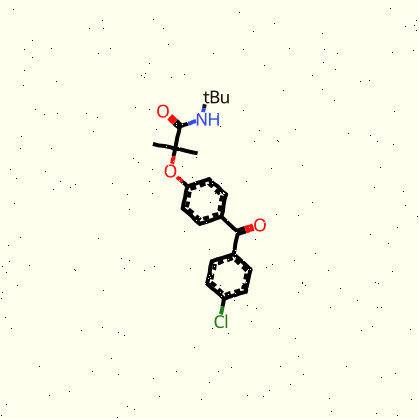 CC(C)(C)NC(=O)C(C)(C)Oc1ccc(C(=O)c2ccc(Cl)cc2)cc1